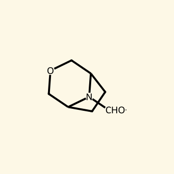 O=[C]N1C2CCC1COC2